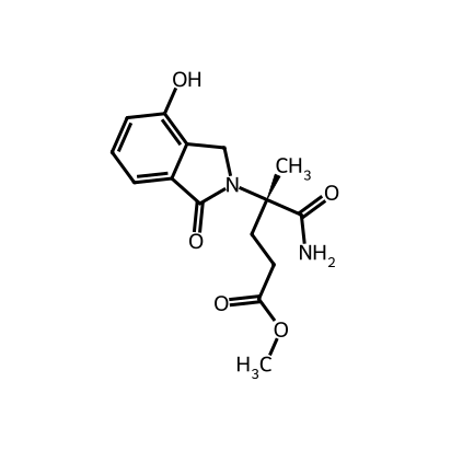 COC(=O)CC[C@@](C)(C(N)=O)N1Cc2c(O)cccc2C1=O